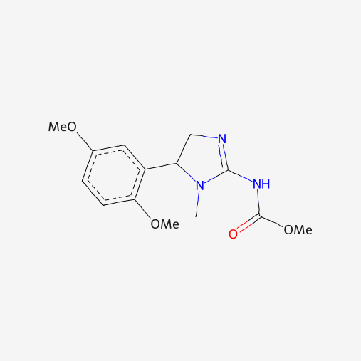 COC(=O)NC1=NCC(c2cc(OC)ccc2OC)N1C